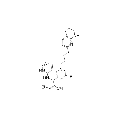 CC/C=C(/O)C(CCN(CCCCc1ccc2c(n1)NCCC2)CC(F)F)NC1C=CN=CN1